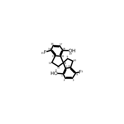 Oc1ccc(F)c2c1C1(CC2)CCc2c(F)ccc(O)c21